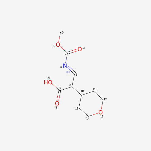 COC(=O)/N=C/C(C(=O)O)C1CCOCC1